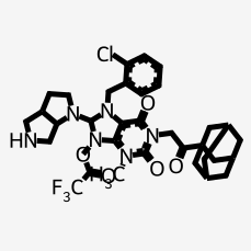 Cn1c2c(c(=O)n(CC(=O)C34CC5CC(CC(C5)C3)C4)c1=O)N(Cc1ccccc1Cl)C(N1CCC3CNCC31)N2OC(=O)C(F)(F)F